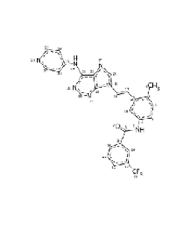 Cc1ccc(NC(=O)c2cccc(C(F)(F)F)c2)cc1C=Cn1cnc2c(Nc3ccncc3)ncnc21